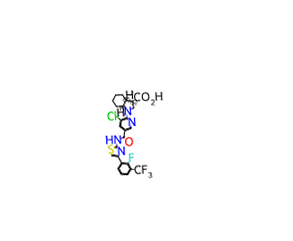 O=C(Nc1nc(-c2cccc(C(F)(F)F)c2F)cs1)c1cnc(N2C[C@@H](C(=O)O)[C@H]3CCCC[C@H]32)c(Cl)c1